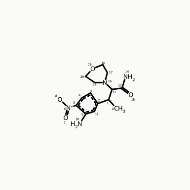 CC(c1ccc([N+](=O)[O-])c(N)c1)C(C(N)=O)N1CCOCC1